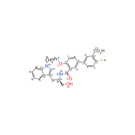 CCCOc1ccc(-c2ccc(F)c(C(=O)O)c2)cc1C(=O)N[C@@H](CO)Cc1cn(C)c2ccccc12